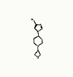 CC(C)c1cn(C2CCN(C3COC3)CC2)cn1